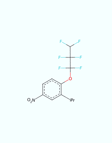 CC(C)c1cc([N+](=O)[O-])ccc1OC(F)(F)C(F)(F)C(F)F